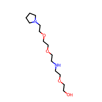 OCCOCCNCCOCCOCCN1CCCC1